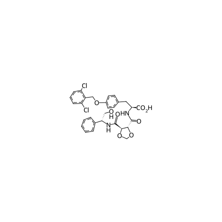 O=C(O)[C@H](Cc1ccc(OCc2c(Cl)cccc2Cl)cc1)NC(=O)[C@@H]1OCO[C@H]1C(=O)N[C@@H](CO)c1ccccc1